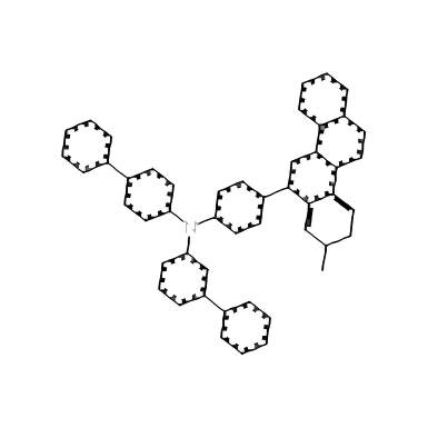 CC1C=c2c(-c3ccc(N(c4ccc(-c5ccccc5)cc4)c4cccc(-c5ccccc5)c4)cc3)cc3c(ccc4ccccc43)c2=CC1